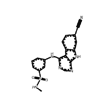 CNS(=O)(=O)c1cccc(Nc2ncnc3[nH]c4cc(C#N)ccc4c23)c1